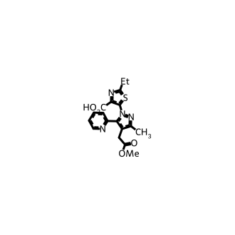 CCc1nc(C(=O)O)c(-n2nc(C)c(CC(=O)OC)c2-c2ccccn2)s1